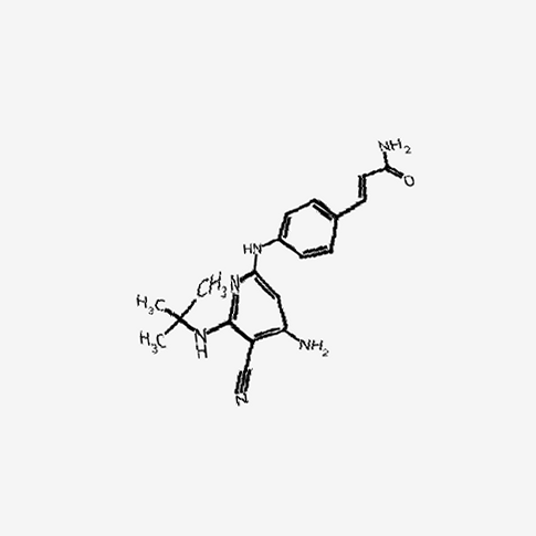 CC(C)(C)Nc1nc(Nc2ccc(/C=C/C(N)=O)cc2)cc(N)c1C#N